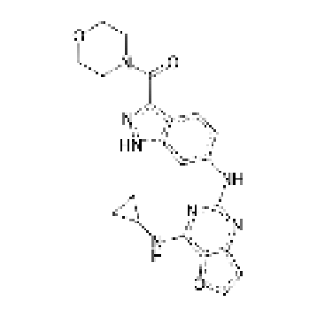 O=C(c1n[nH]c2cc(Nc3nc(NC4CC4)c4occc4n3)ccc12)N1CCOCC1